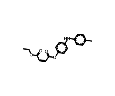 CCOC(=O)/C=C\C(=O)Oc1ccc(Nc2ccc(C)cc2)cc1